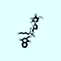 Cc1cn(C2C=CC(COP(=O)(OCC3=CC(=O)c4ccccc4C3=O)N(C)CCCCCl)O2)c(=O)[nH]c1=O